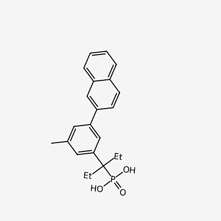 CCC(CC)(c1cc(C)cc(-c2ccc3ccccc3c2)c1)P(=O)(O)O